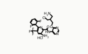 Cl.NCC(CCl)COc1ncncc1NC(=O)c1nc(-c2c(F)cccc2F)c(C(F)(F)F)cc1N